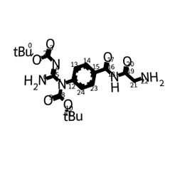 CC(C)(C)OC(=O)N=C(N)N(C(=O)OC(C)(C)C)c1ccc(C(=O)NC(=O)CN)cc1